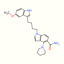 COc1ccc2[nH]cc(CCCCn3ccc4c(N5CCCCC5)c(C(N)=O)ccc43)c2c1